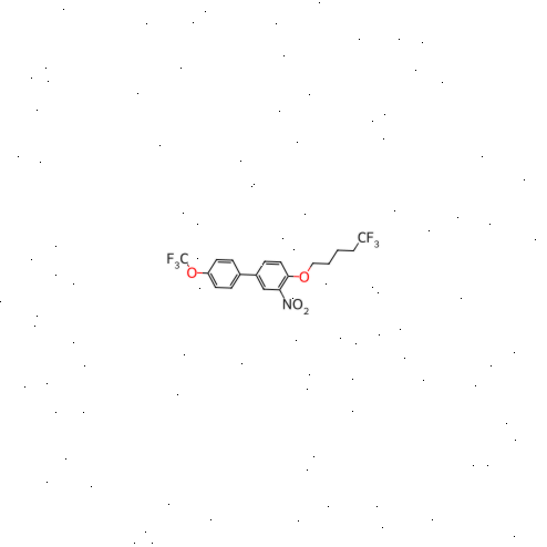 O=[N+]([O-])c1cc(-c2ccc(OC(F)(F)F)cc2)ccc1OCCCCC(F)(F)F